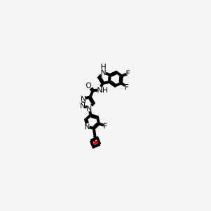 O=C(Nc1c[nH]c2cc(F)c(F)cc12)c1cn(-c2cnc(N3CC4CC3C4)c(F)c2)nn1